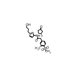 Cc1cc([C@@H](C[C@H]2CCC(=O)C2)C(=O)Nc2ccn(CCCO)n2)ccc1S(C)(=O)=O